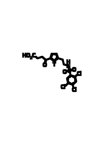 Cn1c(CCNS(=O)(=O)c2cc(Cl)c(Cl)cc2Cl)ccc1C(=O)CCC(=O)O